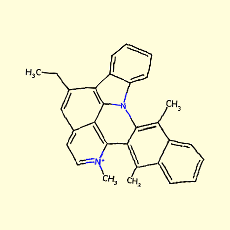 CCc1cc2cc[n+](C)c3c4c(C)c5ccccc5c(C)c4n4c5ccccc5c1c4c23